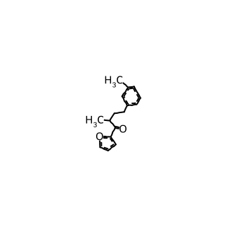 Cc1cccc(CCC(C)C(=O)c2ccco2)c1